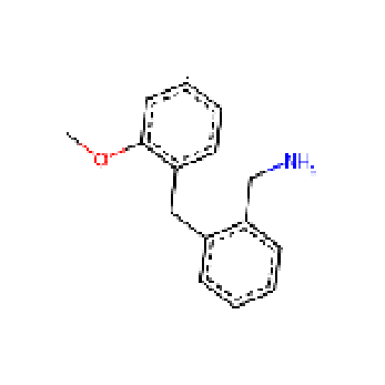 COc1c[c]ccc1Cc1ccccc1CN